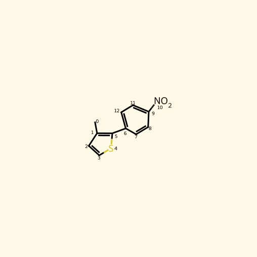 Cc1ccsc1-c1ccc([N+](=O)[O-])cc1